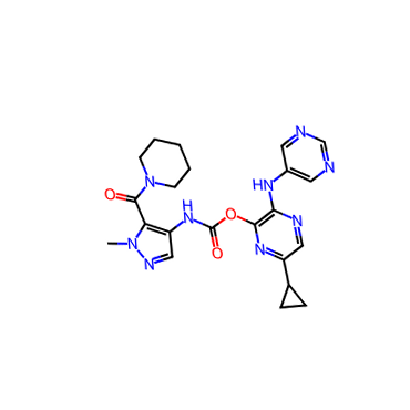 Cn1ncc(NC(=O)Oc2nc(C3CC3)cnc2Nc2cncnc2)c1C(=O)N1CCCCC1